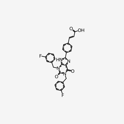 O=C(O)C=Cc1ccc(-c2nc3c(=O)n(Cc4cccc(F)c4)c(=O)n(Cc4cccc(F)c4)c3[nH]2)cc1